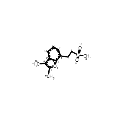 Cc1oc2c(CCS(C)(=O)=O)cccc2c1C